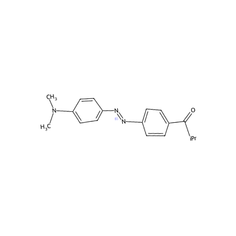 CC(C)C(=O)c1ccc(/N=N/c2ccc(N(C)C)cc2)cc1